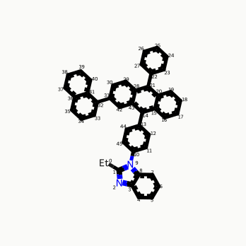 CCc1nc2ccccc2n1-c1ccc(-c2c3ccccc3c(-c3ccccc3)c3ccc(-c4cccc5ccccc45)cc23)cc1